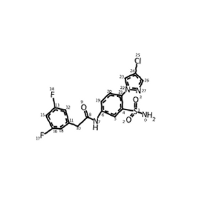 NS(=O)(=O)c1cc(NC(=O)Cc2cc(F)cc(F)c2)ccc1-n1cc(Cl)cn1